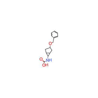 O=C(O)NC1C2CC(OCc3ccccc3)CC21